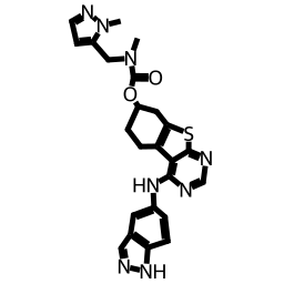 CN(Cc1ccnn1C)C(=O)OC1CCc2c(sc3ncnc(Nc4ccc5[nH]ncc5c4)c23)C1